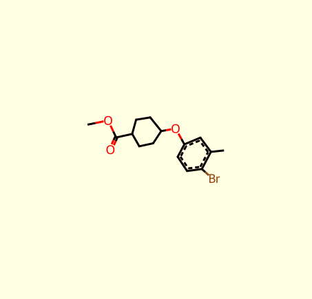 COC(=O)C1CCC(Oc2ccc(Br)c(C)c2)CC1